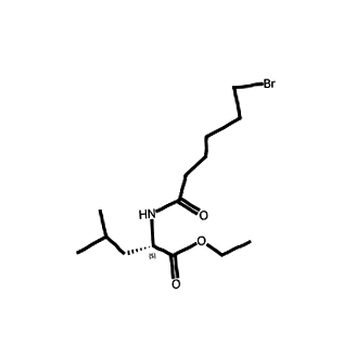 CCOC(=O)[C@H](CC(C)C)NC(=O)CCCCCBr